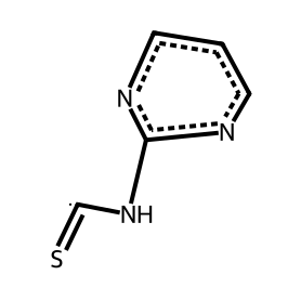 S=[C]Nc1ncccn1